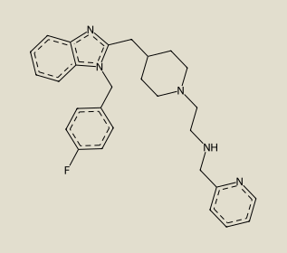 Fc1ccc(Cn2c(CC3CCN(CCNCc4ccccn4)CC3)nc3ccccc32)cc1